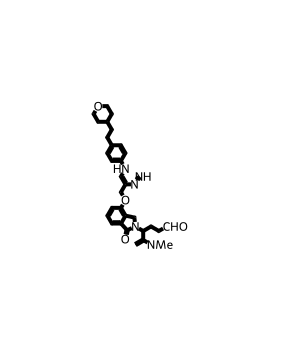 C=C(NC)C(CCC=O)N1Cc2c(OC/C(=C/Nc3ccc(CCC4CCOCC4)cc3)N=N)cccc2C1=O